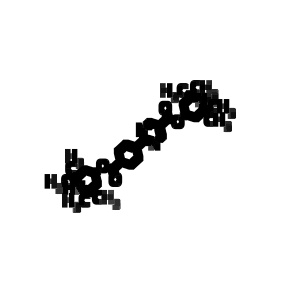 CC1(C)CC(OC(=O)c2cnc(C3=CCC(C(=O)OC4CC(C)(C)NC(C)(C)C4)CC3)nc2)CC(C)(C)N1